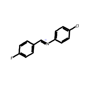 Fc1ccc(/C=N/c2ccc(Cl)cc2)cc1